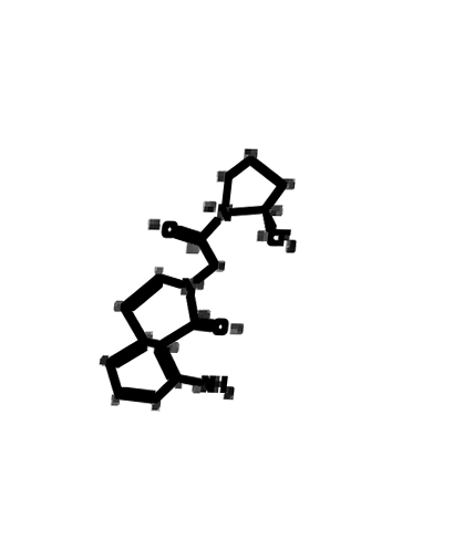 Nc1cccc2ccn(CC(=O)N3CCC[C@H]3C(F)(F)F)c(=O)c12